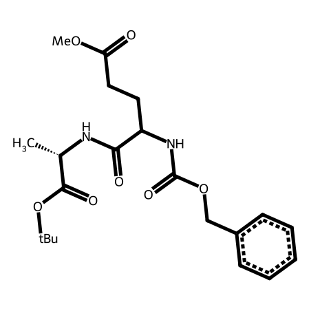 COC(=O)CCC(NC(=O)OCc1ccccc1)C(=O)N[C@@H](C)C(=O)OC(C)(C)C